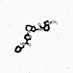 Cn1ccc2c(C(=O)NC3CC4CCCN(c5ccc(C(=O)NCc6ccccc6)cn5)C4C3)cccc21